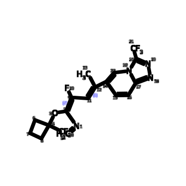 C=N/C(OC1(C(F)(F)F)CCC1)=C(F)\C=C(/C)c1ccc2nnc(C(F)(F)F)n2c1